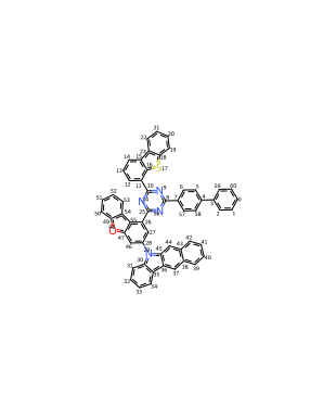 c1ccc(-c2ccc(-c3nc(-c4cccc5c4sc4ccccc45)nc(-c4cc(-n5c6ccccc6c6cc7ccccc7cc65)cc5oc6ccccc6c45)n3)cc2)cc1